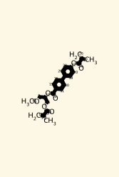 C=C(C)C(=O)OCC(COC)OC(=O)c1ccc(-c2ccc(OC(=O)C(=C)C)cc2)cc1